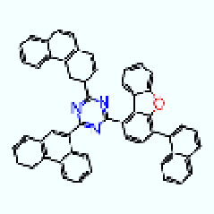 C1=Cc2cc(-c3nc(-c4ccc(-c5cccc6ccccc56)c5oc6ccccc6c45)nc(C4C=Cc5ccc6ccccc6c5C4)n3)c3ccccc3c2CC1